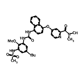 COc1c(NC(=O)Nc2ccc(Oc3ccnc(C(=O)N(C)C)c3)c3ccccc23)cc(C(C)(C)C)cc1NS(C)(=O)=O